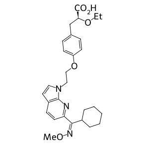 CCO[C@@H](Cc1ccc(OCCn2ccc3ccc(/C(=N\OC)C4CCCCC4)nc32)cc1)C(=O)O